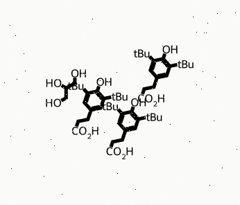 CC(C)(C)c1cc(CCC(=O)O)cc(C(C)(C)C)c1O.CC(C)(C)c1cc(CCC(=O)O)cc(C(C)(C)C)c1O.CC(C)(C)c1cc(CCC(=O)O)cc(C(C)(C)C)c1O.OCC(O)CO